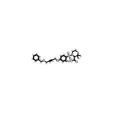 COC(=O)C1N(S(=O)(=O)c2ccc(OCC#CCOCc3ccccc3)cc2)CCSC1(C)C